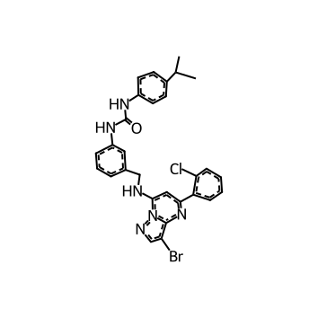 CC(C)c1ccc(NC(=O)Nc2cccc(CNc3cc(-c4ccccc4Cl)nc4c(Br)cnn34)c2)cc1